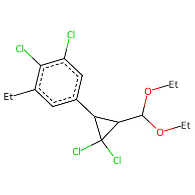 CCOC(OCC)C1C(c2cc(Cl)c(Cl)c(CC)c2)C1(Cl)Cl